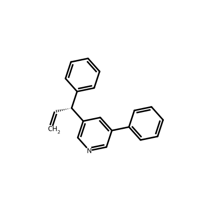 C=C[C@H](c1ccccc1)c1cncc(-c2ccccc2)c1